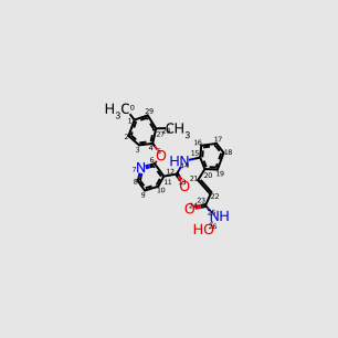 Cc1ccc(Oc2ncccc2C(=O)Nc2ccccc2/C=C/C(=O)NO)c(C)c1